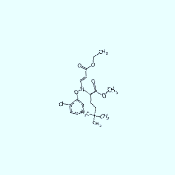 CCOC(=O)C=CN(Oc1ccccc1Cl)C(CCC(C)(C)C)C(=O)OC